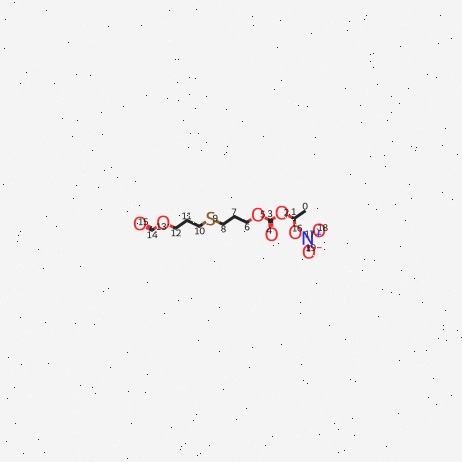 CC(OC(=O)OCCCSCCCOC=O)O[N+](=O)[O-]